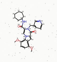 COc1ccc(OC)c2c1cc1c(=O)n(Cc3cccnc3)c(C(=O)NC3CCCCCC3)cn12